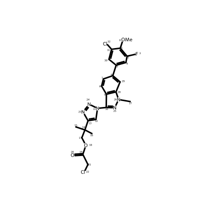 COc1c(F)cc(-c2ccc3c(-n4cc(C(C)(C)COC(=O)CCl)nn4)nn(C)c3c2)cc1Cl